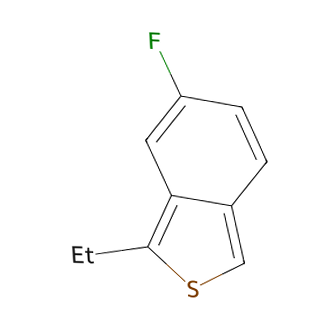 [CH2]Cc1scc2ccc(F)cc12